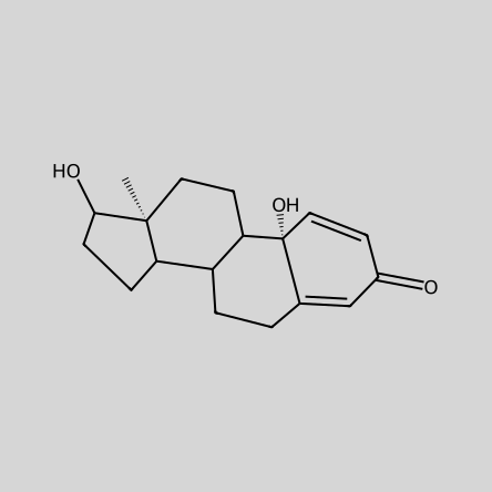 C[C@]12CCC3C(CCC4=CC(=O)C=C[C@@]43O)C1CCC2O